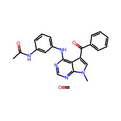 C=O.CC(=O)Nc1cccc(Nc2ncnc3c2c(C(=O)c2ccccc2)cn3C)c1